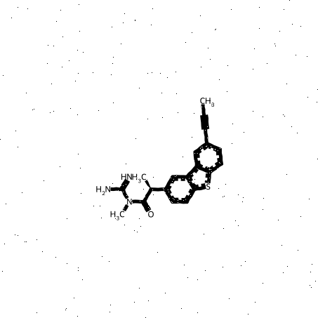 CC#Cc1ccc2sc3ccc([C@H](C)C(=O)N(C)C(=N)N)cc3c2c1